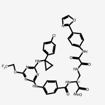 COC(=O)[C@H](CNC(=O)C(=O)Nc1ccc(-c2ncco2)cc1)NC(=O)c1ccc(Nc2nc(NC3(c4ccc(Cl)cc4)CC3)nc(OCC(F)(F)F)n2)cc1